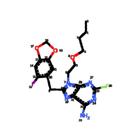 CCCCOCCn1c(Cc2cc3c(cc2I)OCO3)nc2c(N)nc(F)nc21